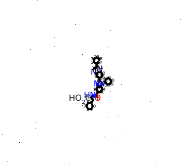 O=C(N[C@@H](CC1CCCCC1)C(=O)O)c1ccc2c(c1)nc(-c1ccc3nc(-c4ccccc4)cnc3c1)n2C1CCCCC1